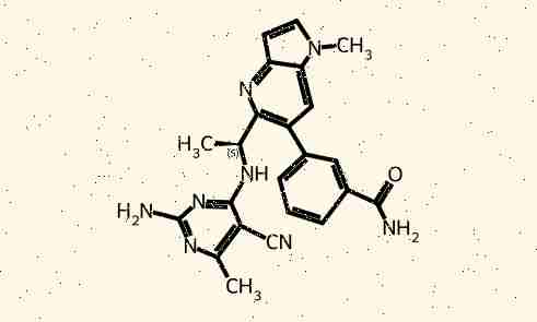 Cc1nc(N)nc(N[C@@H](C)c2nc3ccn(C)c3cc2-c2cccc(C(N)=O)c2)c1C#N